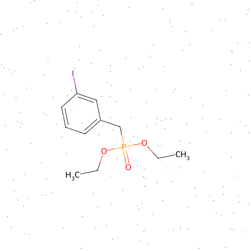 CCOP(=O)(Cc1cccc(I)c1)OCC